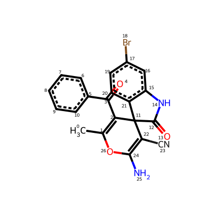 CC1=C(C(=O)c2ccccc2)C2(C(=O)Nc3cc(Br)ccc32)C(C#N)=C(N)O1